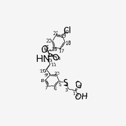 O=C(O)CSc1cccc(CCNS(=O)(=O)c2ccc(Cl)cc2)c1